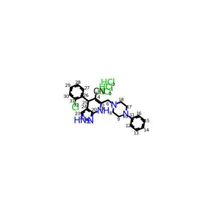 Cl.Cl.Cl.N#CC1=C(CN2CCN(c3ccccc3)CC2)Nc2n[nH]cc2C1c1ccccc1Cl